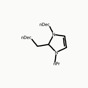 CCCCCCCCCCCC1N(CCC)C=CN1CCCCCCCCCC